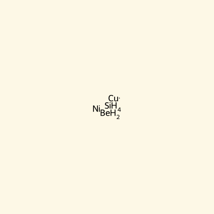 [BeH2].[Cu].[Ni].[SiH4]